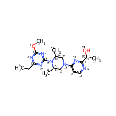 CCc1nc(OC)nc(N2[C@H](C)CN(c3ccnc([C@@H](C)O)n3)C[C@@H]2C)n1